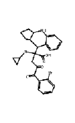 O=C(CC(NC1CC1)(C(=O)O)C1c2ccccc2NC2CCCC21)C(=O)c1ccccc1Br